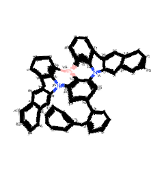 c1ccc(-c2ccccc2-c2cc3c4c(c2)-n2c5cc6ccccc6cc5c5cccc(c52)B4c2cccc4c5cc6ccccc6cc5n-3c24)cc1